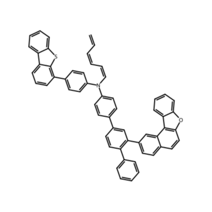 C=C/C=C\C=C/N(c1ccc(-c2ccc(-c3ccccc3)c(-c3ccc4ccc5oc6ccccc6c5c4c3)c2)cc1)c1ccc(-c2cccc3c2sc2ccccc23)cc1